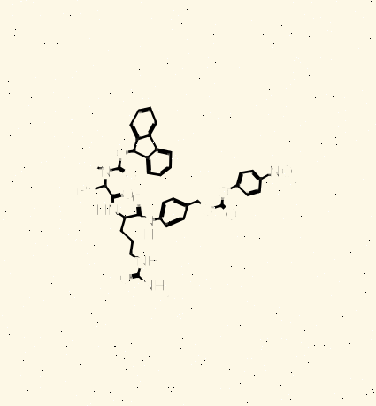 CC(C)C(C(=O)NC(CCCNC(N)=O)C(=O)Nc1ccc(COC(=O)Oc2ccc([N+](=O)[O-])cc2)cc1)N(C)C(=O)OC1c2ccccc2-c2ccccc21